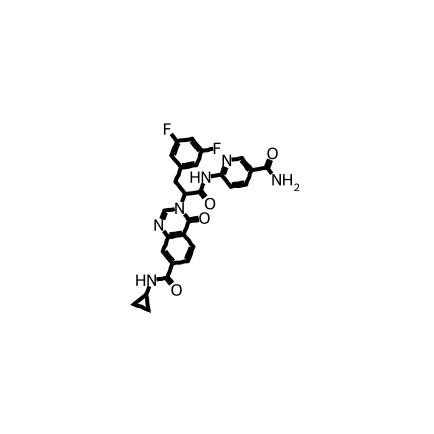 NC(=O)c1ccc(NC(=O)C(Cc2cc(F)cc(F)c2)n2cnc3cc(C(=O)NC4CC4)ccc3c2=O)nc1